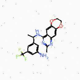 Cc1nc(NC(C)c2cc(N)cc(C(F)(F)F)c2)c2cc3c(cc2n1)OCCO3